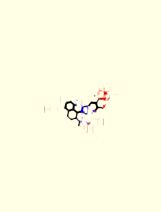 C=CC(NC(C)=O)C1CCc2c(C)c(F)cc3nc4c(c1c23)Cn1c-4cc2c(c1=O)COC(=O)[C@@]2(CC)OC(C)=O